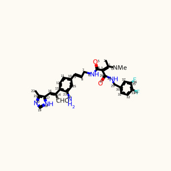 CN/C(C)=C(/C(=O)NC/C=C/c1ccc(/C(C=O)=C/c2[nH]cnc2C)c(N)c1)C(=O)NCc1ccc(F)c(F)c1